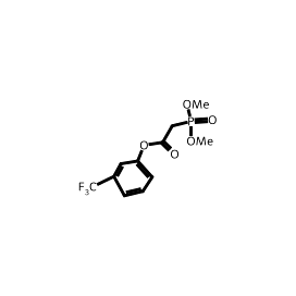 COP(=O)(CC(=O)Oc1cccc(C(F)(F)F)c1)OC